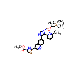 COC(=O)c1csc(-c2cnc3ccc(-c4ncn(COCCS(C)(C)C)c4-c4cccc(C)n4)cc3c2)n1